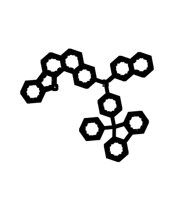 c1ccc(C2(c3ccc(N(c4ccc5ccccc5c4)c4ccc5c(ccc6ccc7c8ccccc8oc7c65)c4)cc3)c3ccccc3-c3ccccc32)cc1